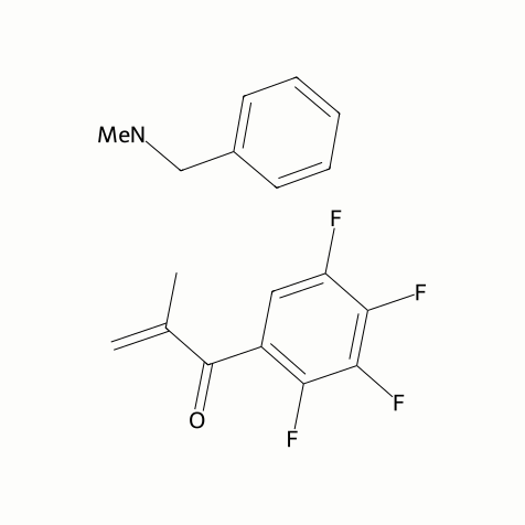 C=C(C)C(=O)c1cc(F)c(F)c(F)c1F.CNCc1ccccc1